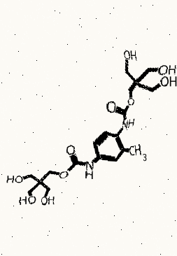 Cc1cc(NC(=O)OCC(CO)(CO)CO)ccc1NC(=O)OCC(CO)(CO)CO